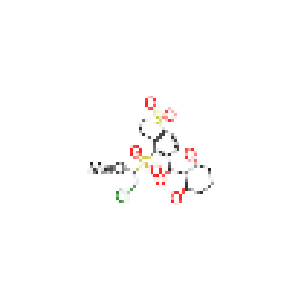 COC(CCl)S(=O)(=O)c1c(C(=O)C2C(=O)CCCC2=O)ccc2c1CCS2(=O)=O